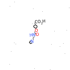 O=C(O)Cc1ccc(OCC(=O)NCCCn2cccc2)cc1